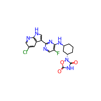 O=c1[nH]c(=O)n([C@H]2CCC[C@H](Nc3nc(-c4c[nH]c5ncc(Cl)cc45)ncc3F)C2)o1